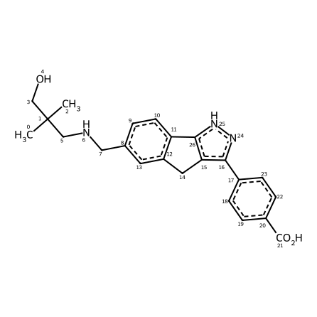 CC(C)(CO)CNCc1ccc2c(c1)Cc1c(-c3ccc(C(=O)O)cc3)n[nH]c1-2